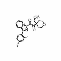 Cc1cc(F)ccc1-c1nc(C(=O)NC2(CO)CCOCC2)n2ccccc12